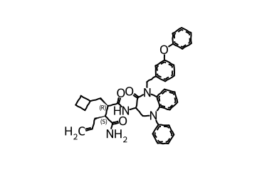 C=CC[C@H](C(N)=O)[C@@H](CC1CCC1)C(=O)NC1CN(c2ccccc2)c2ccccc2N(Cc2cccc(Oc3ccccc3)c2)C1=O